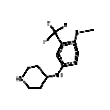 CSc1ccc(NC2CCNCC2)cc1C(F)(F)F